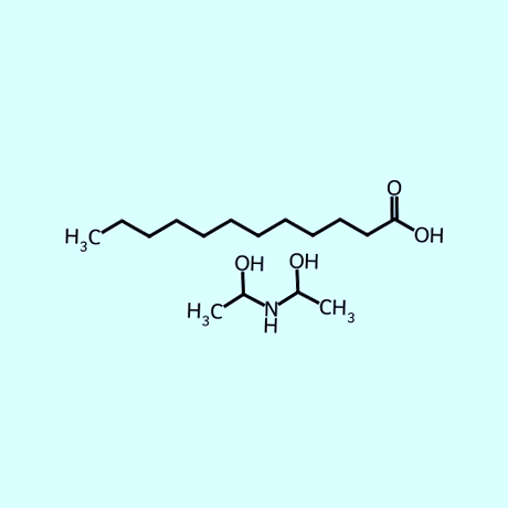 CC(O)NC(C)O.CCCCCCCCCCCC(=O)O